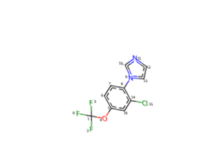 FC(F)(F)Oc1ccc(-n2[c]ncc2)c(Cl)c1